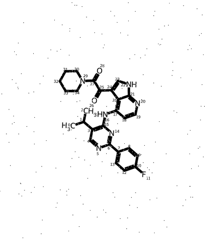 CC(C)c1cnc(-c2ccc(F)cc2)nc1Nc1ccnc2[nH]cc(C(=O)C(=O)N3CCCCC3)c12